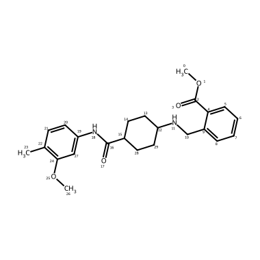 COC(=O)c1ccccc1CNC1CCC(C(=O)Nc2ccc(C)c(OC)c2)CC1